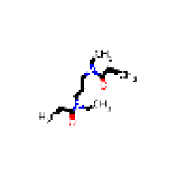 C=CC(=O)N(CC)CCCN(CC)C(=O)C=C